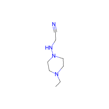 CCN1CCN(NCC#N)CC1